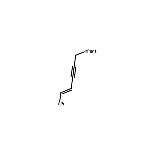 CCC/C=C/C#CCCCCCC